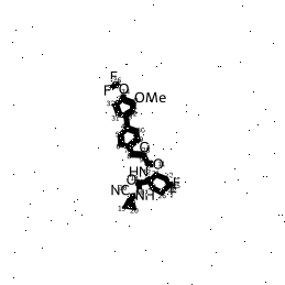 COc1cc(-c2ccc3cc(C(=O)NC4(C(=O)NC5(C#N)CC5)CCC(F)(F)CC4)oc3c2)ccc1OC(F)F